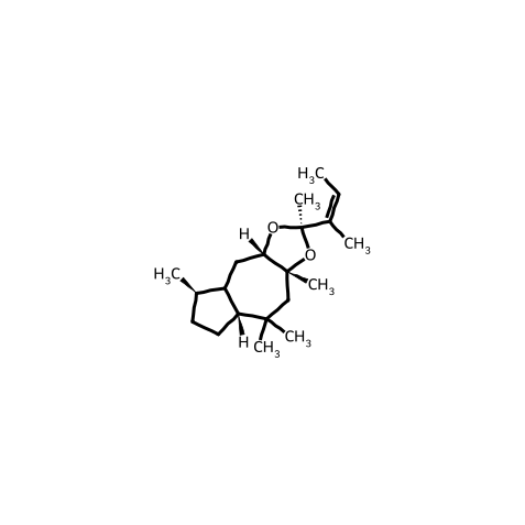 C/C=C(/C)[C@]1(C)O[C@H]2CC3[C@H](C)CC[C@H]3C(C)(C)C[C@@]2(C)O1